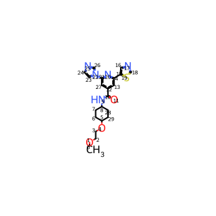 COCCOC1CCC(NC(=O)c2cc(-c3cncs3)nc(-n3ccnc3)c2)CC1